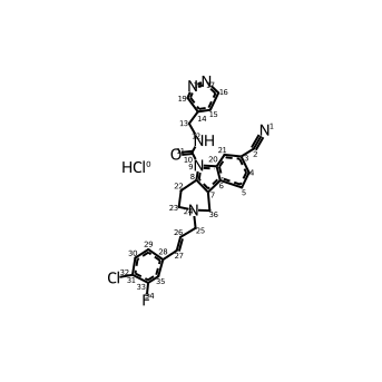 Cl.N#Cc1ccc2c3c(n(C(=O)NCc4ccnnc4)c2c1)CCN(C/C=C/c1ccc(Cl)c(F)c1)C3